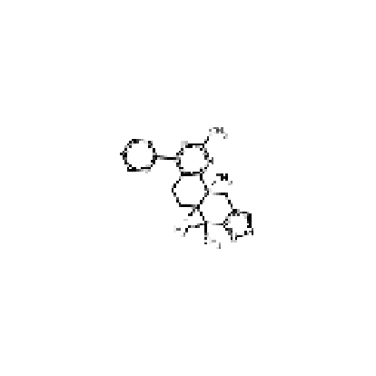 Cc1nc(-c2ccccc2)c2c(n1)[C@@]1(C)Cc3cnoc3C(C)(C)[C@@H]1CC2